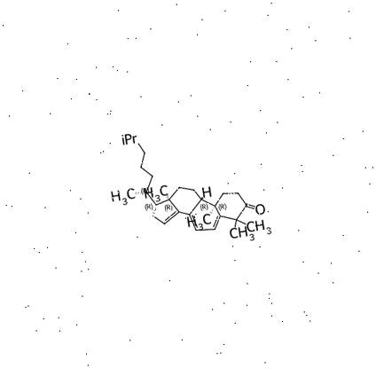 CC(C)CCC[C@@H](C)[C@H]1CC=C2C3=CC=C4C(C)(C)C(=O)CC[C@]4(C)[C@H]3CC[C@@]21C